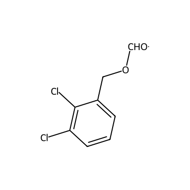 O=[C]OCc1cccc(Cl)c1Cl